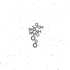 O=C(O)c1sc2ncnc3c2c1NC(=O)N3c1cccc(Oc2ccccc2)c1